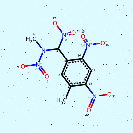 Cc1cc(C(N(C)[N+](=O)[O-])[N+](=O)[O-])c([N+](=O)[O-])cc1[N+](=O)[O-]